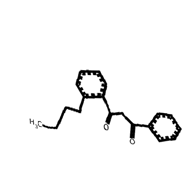 CCCCc1ccccc1C(=O)CC(=O)c1ccccc1